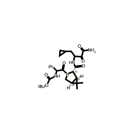 CC(C)C(NC(=O)OC(C)(C)C)C(=O)N1C[C@H]2[C@@H]([C@H]1C(=O)NC(CC1CC1)C(=O)C(N)=O)C2(C)C